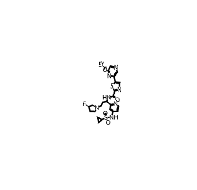 CCOc1cncc(-c2cnc(C(=O)NC(CCN3CC[C@@H](F)C3)c3cc(NS(=O)(=O)C4CC4)ccn3)s2)n1